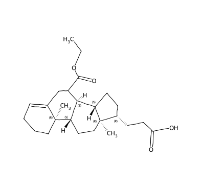 CCOC(=O)C1CC2=CCCC[C@]2(C)[C@H]2CC[C@]3(C)[C@@H](CCC(=O)O)CC[C@H]3[C@H]12